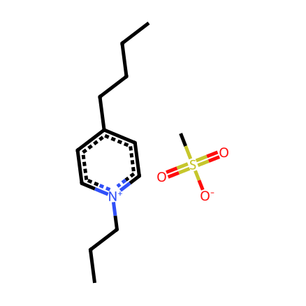 CCCCc1cc[n+](CCC)cc1.CS(=O)(=O)[O-]